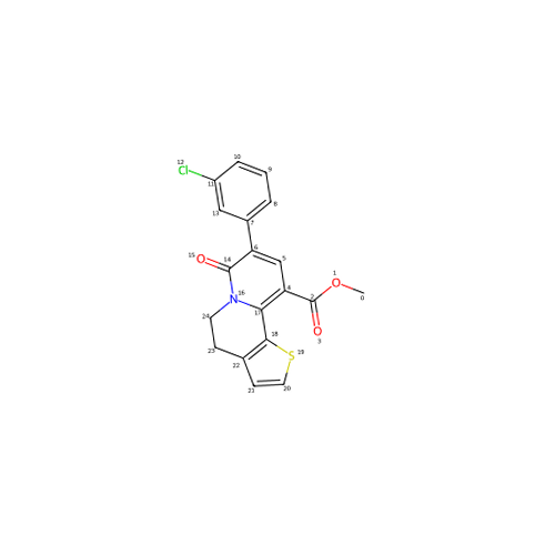 COC(=O)c1cc(-c2cccc(Cl)c2)c(=O)n2c1-c1sccc1CC2